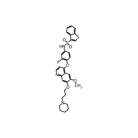 COc1cc2c(Oc3ccc(NS(=O)(=O)c4csc5ccccc45)cc3F)ccnc2cc1OCCCN1CCCCC1